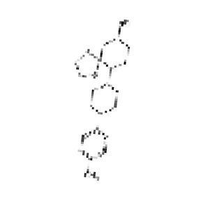 CCCC1CCC(C2CCC(c3ccc(C)cc3)CC2)C2(C1)SCCS2